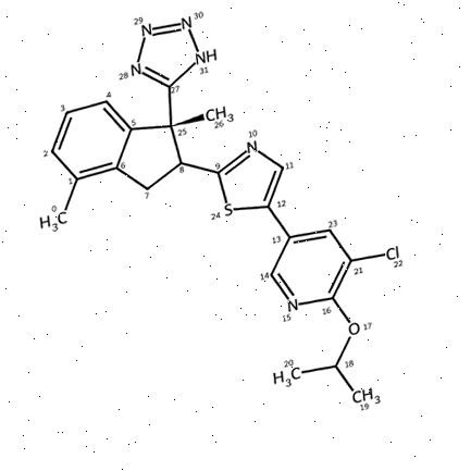 Cc1cccc2c1CC(c1ncc(-c3cnc(OC(C)C)c(Cl)c3)s1)[C@@]2(C)c1nnn[nH]1